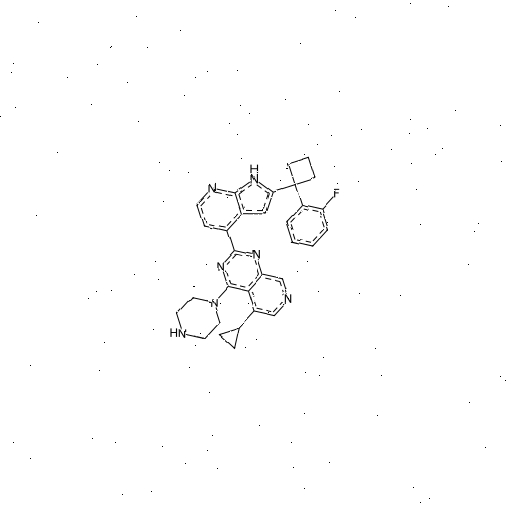 Fc1ccccc1C1(c2cc3c(-c4nc(N5CCNCC5)c5c(C6CC6)cncc5n4)ccnc3[nH]2)CCC1